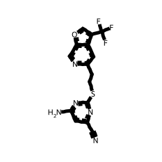 N#Cc1cc(N)nc(SCCc2cc3c(C(F)(F)F)coc3cn2)n1